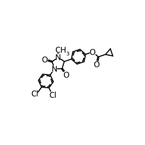 CN1C(=O)N(c2ccc(Cl)c(Cl)c2)C(=O)C1c1ccc(OC(=O)C2CC2)cc1